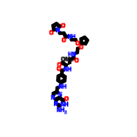 COC(=O)[C@H](CCC(=O)NCCOC1(OCCNC(=O)CCN2C(=O)C=CC2=O)CCCC1)NC(=O)c1ccc(NCc2cnc3nc(N)[nH]c(=O)c3n2)cc1